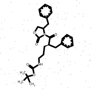 CC(C)(C)OC(=O)NCCC[C@H](Cc1ccccc1)C(=O)N1C(=O)OCC1Cc1ccccc1